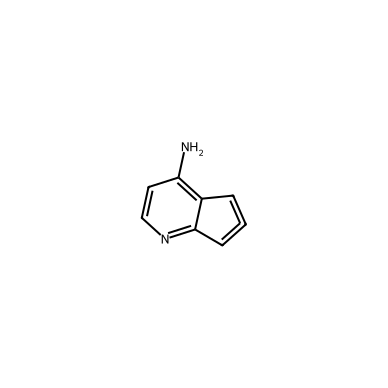 Nc1ccnc2c1C=C=C2